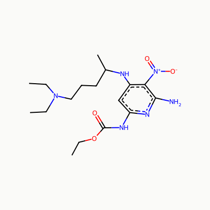 CCOC(=O)Nc1cc(NC(C)CCCN(CC)CC)c([N+](=O)[O-])c(N)n1